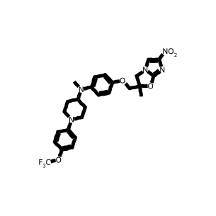 CN(c1ccc(OCC2(C)Cn3cc([N+](=O)[O-])nc3O2)cc1)C1CCN(c2ccc(OC(F)(F)F)cc2)CC1